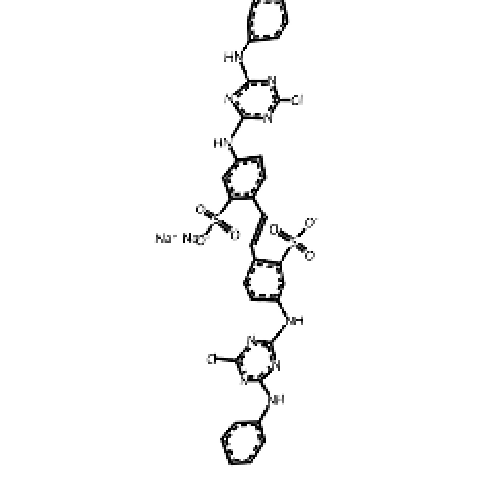 O=S(=O)([O-])c1cc(Nc2nc(Cl)nc(Nc3ccccc3)n2)ccc1/C=C/c1ccc(Nc2nc(Cl)nc(Nc3ccccc3)n2)cc1S(=O)(=O)[O-].[Na+].[Na+]